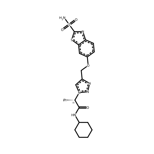 CC(C)[C@@H](C(=O)NC1CCCCC1)n1cc(COc2ccc3nc(S(N)(=O)=O)sc3c2)nn1